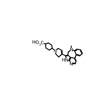 CN1Cc2c(C3=CCN(C4CCC(C(=O)O)CC4)CC3)[nH]c3nccc(c23)-c2ccccc21